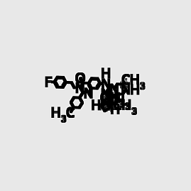 CC1CCC(c2nc3cc(NC(=N[C@H]4C[C@H]5C[C@@H]([C@@H]4C)C5(C)C)N4CCN[C@@H](C)C4)ccc3c(=O)n2CCc2ccc(F)cc2)CC1